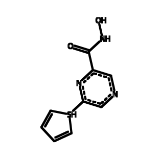 O=C(NO)c1cncc([SH]2C=CC=C2)n1